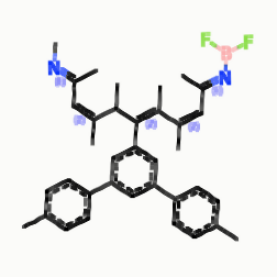 C/N=C(C)/C=C(/C)C(C)/C(=C(C)/C(C)=C\C(C)=N\B(F)F)c1cc(-c2ccc(C)cc2)cc(-c2ccc(C)cc2)c1